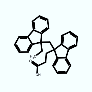 CCC1(CC2(CCC(=O)O)c3ccccc3-c3ccccc32)c2ccccc2-c2ccccc21